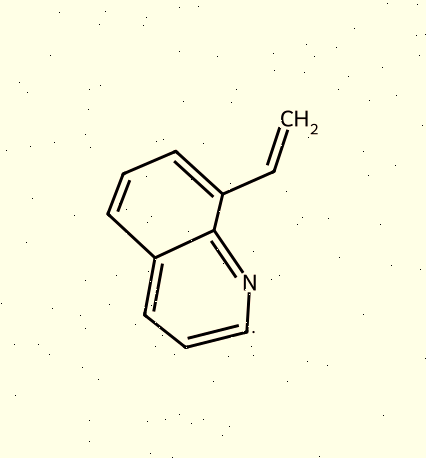 C=Cc1cccc2cc[c]nc12